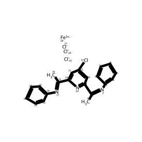 CC(=Nc1ccccc1)c1cc(Cl)cc(C(C)=Nc2ccccc2)n1.[Cl-].[Cl-].[Cl-].[Fe+3]